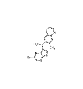 Cc1cc2ncccc2cc1C(C)n1cnc2ncc(Br)nc21